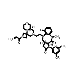 C=CC(=O)N1CC2(CN(CCN3C[C@H]4CC(=O)N(c5cc(C(F)(F)F)cc(C)n5)[C@@H]4C(=O)N(C)c4cccc(F)c43)C[C@@H]3COCCN32)C1